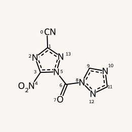 N#Cc1nc([N+](=O)[O-])n(C(=O)n2cncn2)n1